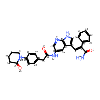 NC(=O)/C(=C/c1c[nH]c2ncc(NC(=O)Cc3ccc(N4CCCCC4=O)cc3)cc12)c1ccccc1